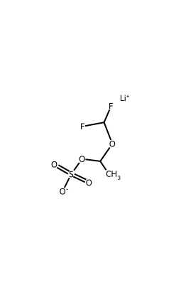 CC(OC(F)F)OS(=O)(=O)[O-].[Li+]